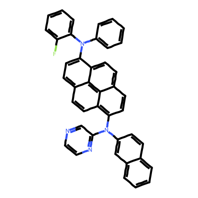 Fc1ccccc1N(c1ccccc1)c1ccc2ccc3c(N(c4ccc5ccccc5c4)c4cnccn4)ccc4ccc1c2c43